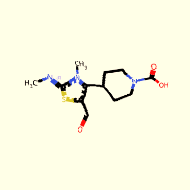 C/N=c1\sc(C=O)c(C2CCN(C(=O)O)CC2)n1C